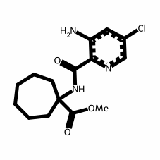 COC(=O)C1(NC(=O)c2ncc(Cl)cc2N)CCCCCC1